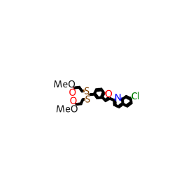 COC(=O)CCSC(SCCC(=O)OC)c1ccc2oc(-c3ccc4ccc(Cl)cc4n3)cc2c1